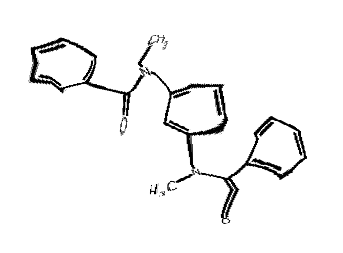 CN(C(=O)c1ccccc1)c1cccc(N(C)C(=O)c2ccccc2)c1